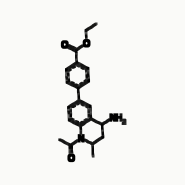 CCOC(=O)c1ccc(-c2ccc3c(c2)C(N)CC(C)N3C(C)=O)cc1